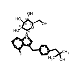 CC(C)(O)Cc1ccc(Cc2cn([C@@H]3O[C@H](CO)[C@@H](O)[C@H](O)[C@H]3O)c3cccc(F)c23)cc1